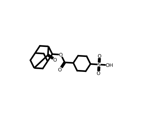 O=C(OC1C2CC3CC(C2)C(=O)C1C3)C1CCC(S(=O)(=O)O)CC1